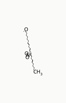 CCCCC/C=C/C/C=C(/C/C=C/C/C=C/CCCCC[C]=O)[N+](=O)[O-]